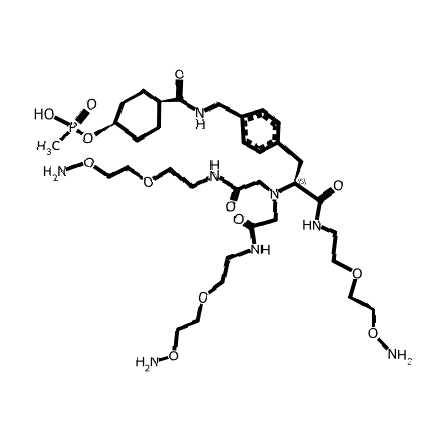 CP(=O)(O)O[C@H]1CC[C@@H](C(=O)NCc2ccc(C[C@@H](C(=O)NCCOCCON)N(CC(=O)NCCOCCON)CC(=O)NCCOCCON)cc2)CC1